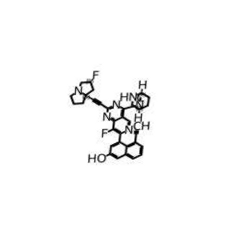 C#Cc1cccc2cc(O)cc(-c3ncc4c(N5C[C@H]6CC[C@@H]5CN6)nc(C#C[C@@]56CCCN5C[C@H](F)C6)nc4c3F)c12